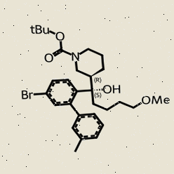 COCCCC[C@@](O)(c1ccc(Br)cc1-c1cccc(C)c1)[C@@H]1CCCN(C(=O)OC(C)(C)C)C1